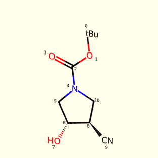 CC(C)(C)OC(=O)N1C[C@@H](O)[C@H](C#N)C1